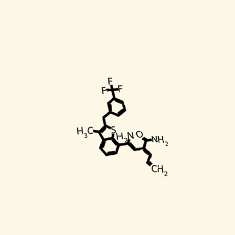 C=C/C=C(\C=C(/N)c1cccc2c(C)c(Cc3cccc(C(F)(F)F)c3)sc12)C(N)=O